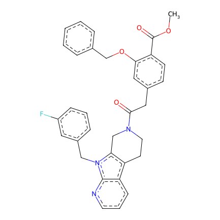 COC(=O)c1ccc(CC(=O)N2CCc3c(n(Cc4cccc(F)c4)c4ncccc34)C2)cc1OCc1ccccc1